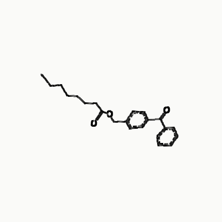 CCCCCCCC(=O)OCc1ccc(C(=O)c2ccccc2)cc1